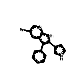 Brc1cnc2[nH]c(-c3cc[nH]c3)c(-c3ccccc3)c2c1